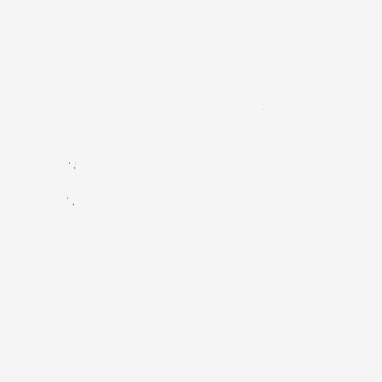 CC[S+]([O-])c1ccc(-c2coc3c2CC(C)(c2nnco2)C=C3)cc1